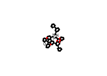 c1ccc(-c2cc(-c3ccccc3)cc(-c3ccc4c(c3)-c3c(-c5nc(-c6ccccc6)nc(-c6cccc(-c7ccccc7)c6)n5)cccc3C43c4ccccc4Oc4ccccc43)c2)cc1